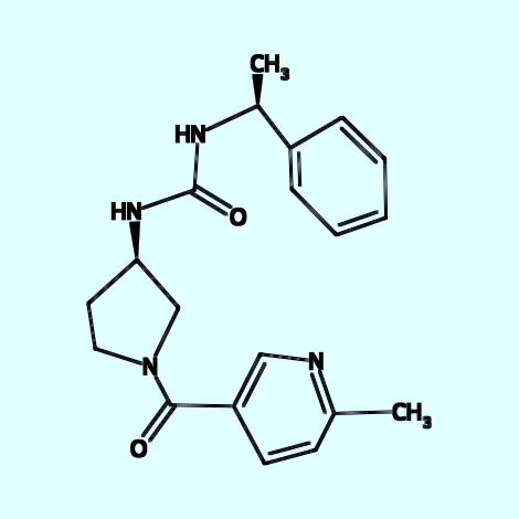 Cc1ccc(C(=O)N2CC[C@@H](NC(=O)N[C@@H](C)c3ccccc3)C2)cn1